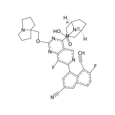 C#Cc1c(F)ccc2cc(C#N)cc(-c3ncc4c(N5C[C@H]6CC[C@@H](C5)N6C(=O)O)nc(OCC56CCCN5CCC6)nc4c3F)c12